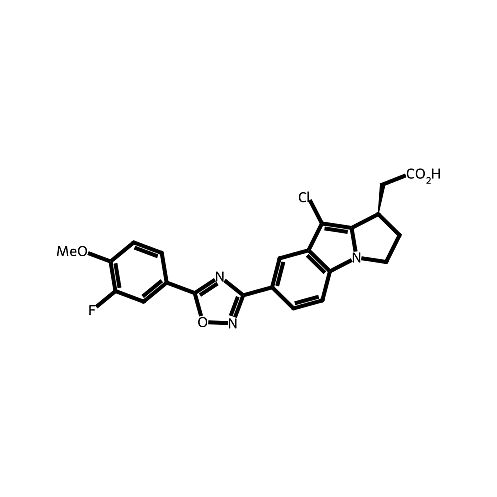 COc1ccc(-c2nc(-c3ccc4c(c3)c(Cl)c3n4CC[C@@H]3CC(=O)O)no2)cc1F